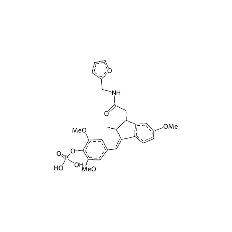 COc1ccc2c(c1)C(CC(=O)NCc1ccco1)C(C)C2=Cc1cc(OC)c(OP(=O)(O)O)c(OC)c1